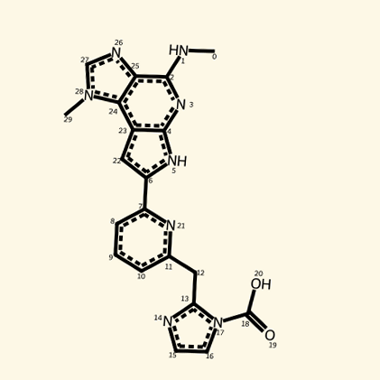 CNc1nc2[nH]c(-c3cccc(Cc4nccn4C(=O)O)n3)cc2c2c1ncn2C